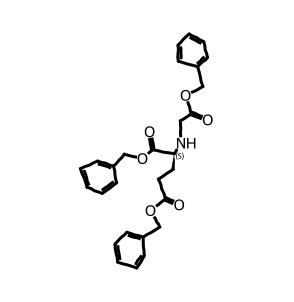 O=C(CC[C@H](NCC(=O)OCc1ccccc1)C(=O)OCc1ccccc1)OCc1ccccc1